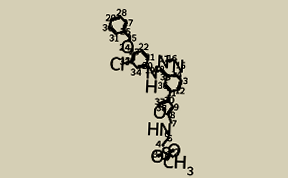 CS(=O)(=O)CCNCc1cc(-c2ccc3ncnc(Nc4ccc(OCc5ccccc5)c(Cl)c4)c3c2)co1